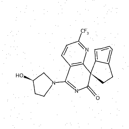 O=C1N=C(N2CC[C@@H](O)C2)c2ccc(C(F)(F)F)nc2[C@@]12CCc1ccccc12